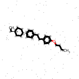 CCCCOc1ccc(CCc2ccc([C@H]3CC[C@H](CC)CC3)cc2)cc1